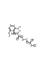 CCc1cccc(CC)c1NC(C)C(=O)OCCOC(=O)CCl